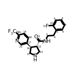 O=C(NCCc1ccccc1F)[C@@H]1CNC[C@H]1c1ccc(C(F)(F)F)nc1